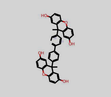 C=C(/C=C\C(=C/C)C1(C)c2cc(O)ccc2Oc2ccc(O)cc21)c1ccc(C2(C)c3cc(O)ccc3Oc3ccc(O)cc32)cc1